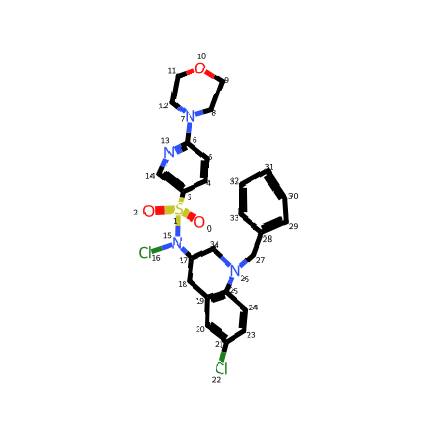 O=S(=O)(c1ccc(N2CCOCC2)nc1)N(Cl)C1Cc2cc(Cl)ccc2N(Cc2ccccc2)C1